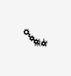 Fc1cc(OC(F)(F)c2c(F)cc(-c3ccc(CCC4CCCCCC4)cc3)cc2F)cc(F)c1F